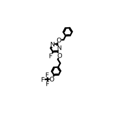 Fc1cnc(OCc2ccccc2)nc1OCCc1ccc(OC(F)(F)F)cc1